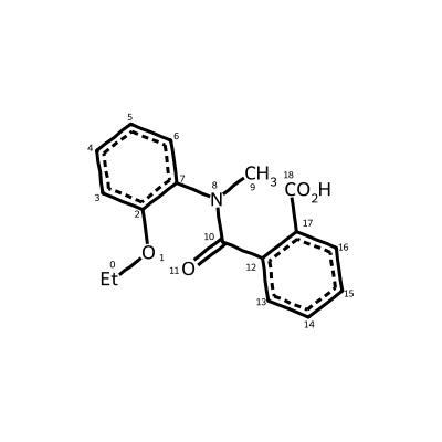 CCOc1ccccc1N(C)C(=O)c1ccccc1C(=O)O